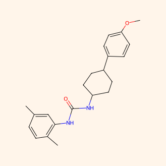 COc1ccc(C2CCC(NC(=O)Nc3cc(C)ccc3C)CC2)cc1